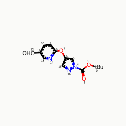 CC(C)(C)OC(=O)n1cc(Oc2ccc(C=O)cn2)cn1